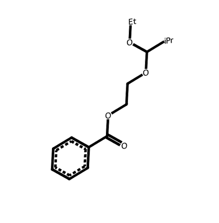 CCOC(OCCOC(=O)c1ccccc1)C(C)C